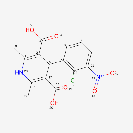 CC1=C(C(=O)O)C(c2cccc([N+](=O)[O-])c2Cl)C(C(=O)O)=C(C)N1